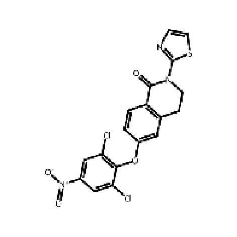 O=C1c2ccc(Oc3c(Cl)cc([N+](=O)[O-])cc3Cl)cc2CCN1c1nccs1